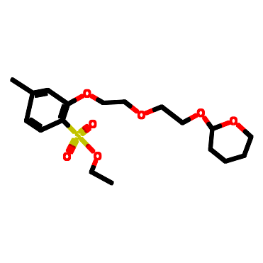 CCOS(=O)(=O)c1ccc(C)cc1OCCOCCOC1CCCCO1